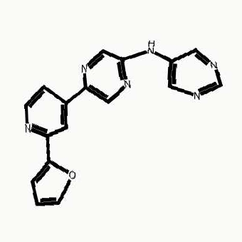 c1coc(-c2cc(-c3cnc(Nc4cncnc4)cn3)ccn2)c1